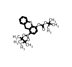 CC(C)(C)OC(=O)Oc1ccc(B2OC(C)(C)C(C)(C)O2)c2c1Sc1ccccc1C2